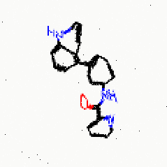 O=C(Nc1cccc(-c2cccc3[nH]ccc23)c1)c1ccccn1